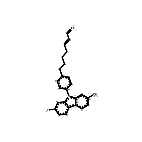 C=C/C=C/CCCCc1ccc(-n2c3cc(C)ccc3c3ccc(C)cc32)cc1